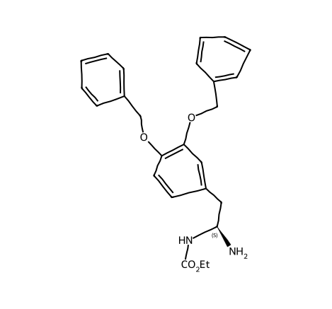 CCOC(=O)N[C@H](N)Cc1ccc(OCc2ccccc2)c(OCc2ccccc2)c1